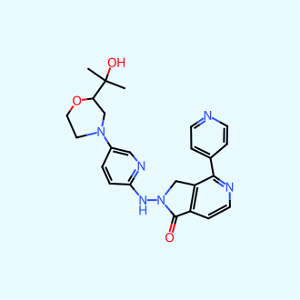 CC(C)(O)C1CN(c2ccc(NN3Cc4c(ccnc4-c4ccncc4)C3=O)nc2)CCO1